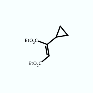 CCOC(=O)C=C(C(=O)OCC)C1CC1